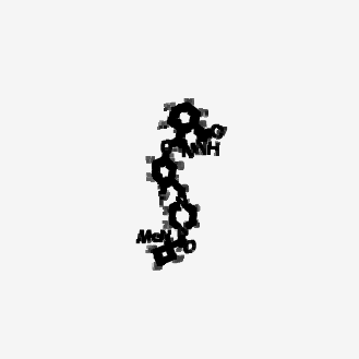 CNC1(C(=O)N2CCN(Cc3cc(Oc4n[nH]c(=O)c5ccccc45)ccc3F)CC2)CCC1